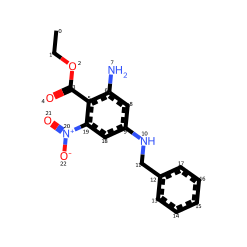 CCOC(=O)c1c(N)cc(NCc2ccccc2)cc1[N+](=O)[O-]